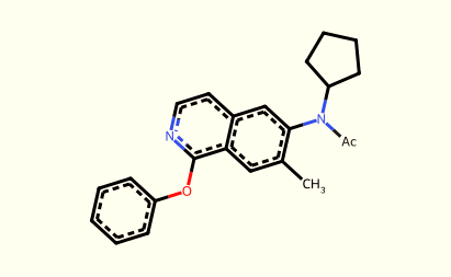 CC(=O)N(c1cc2ccnc(Oc3ccccc3)c2cc1C)C1CCCC1